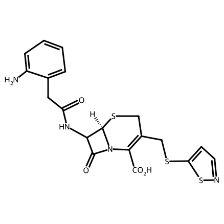 Nc1ccccc1CC(=O)NC1C(=O)N2C(C(=O)O)=C(CSc3ccns3)CS[C@H]12